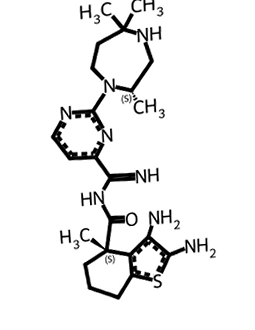 C[C@H]1CNC(C)(C)CCN1c1nccc(C(=N)NC(=O)[C@@]2(C)CCCc3sc(N)c(N)c32)n1